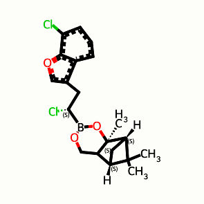 CC1(C)[C@H]2C[C@@H]1[C@]1(C)OB([C@H](Cl)Cc3coc4c(Cl)cccc34)OCC21